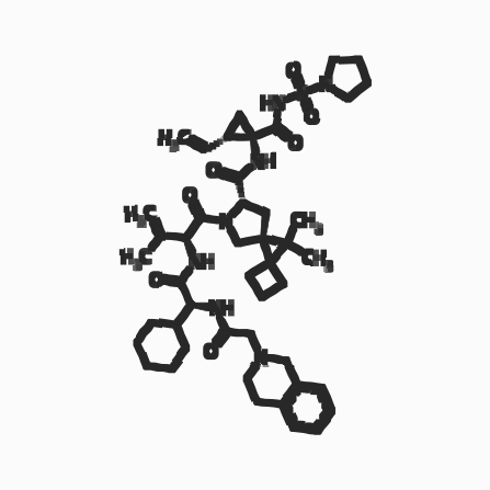 C=C[C@@H]1C[C@]1(NC(=O)[C@@H]1C[C@@]2(CN1C(=O)[C@@H](NC(=O)[C@@H](NC(=O)CN1CCc3ccccc3C1)C1CCCCC1)C(=C)C)C(C)(C)C21CCC1)C(=O)NS(=O)(=O)N1CCCC1